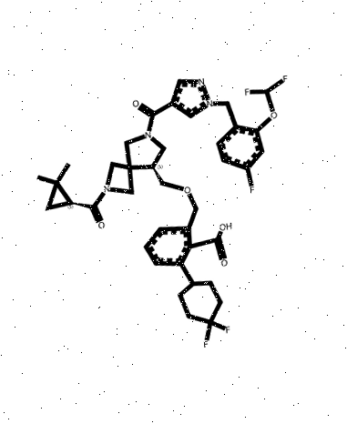 CC1(C)C[C@@H]1C(=O)N1CC2(CN(C(=O)c3cnn(Cc4ccc(F)cc4OC(F)F)c3)C[C@H]2COCc2cccc(C3CCC(F)(F)CC3)c2C(=O)O)C1